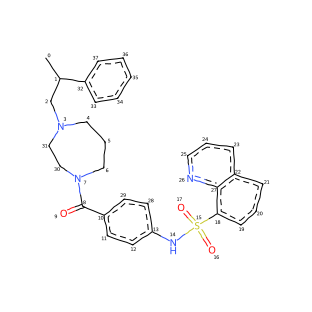 CC(CN1CCCN(C(=O)c2ccc(NS(=O)(=O)c3cccc4cccnc34)cc2)CC1)c1ccccc1